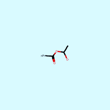 CCCC(=O)OC(C)[O]